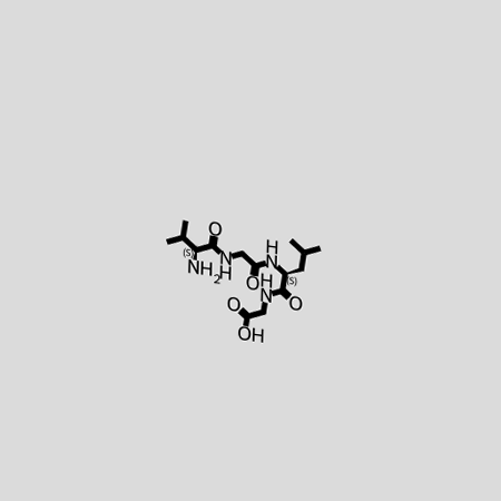 CC(C)C[C@H](NC(=O)CNC(=O)[C@@H](N)C(C)C)C(=O)NCC(=O)O